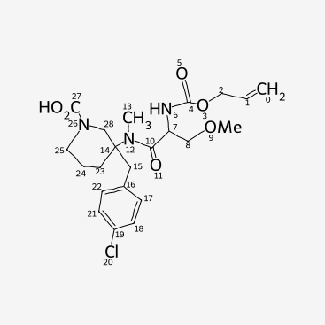 C=CCOC(=O)NC(COC)C(=O)N(C)C1(Cc2ccc(Cl)cc2)CCCN(C(=O)O)C1